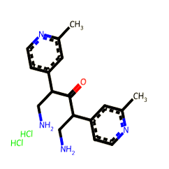 Cc1cc(C(CN)C(=O)C(CN)c2ccnc(C)c2)ccn1.Cl.Cl